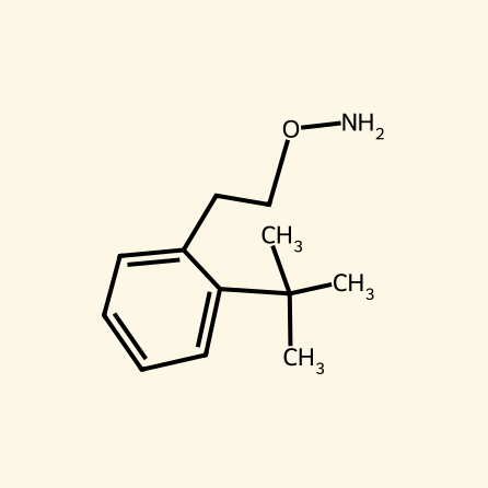 CC(C)(C)c1ccccc1CCON